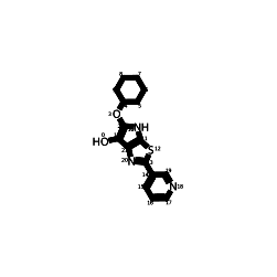 Oc1c(OC2CCCCC2)[nH]c2sc(-c3cccnc3)nc12